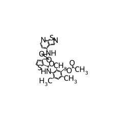 CC(=O)OCc1c(C)cc(C)c(NC(=O)c2sccc2S(=O)(=O)Nc2ccnc3sncc23)c1C